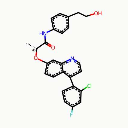 C[C@@H](Oc1ccc2c(-c3ccc(F)cc3Cl)ccnc2c1)C(=O)Nc1ccc(CCO)cc1